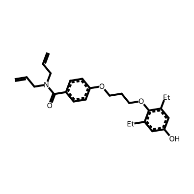 C=CCN(CC=C)C(=O)c1ccc(OCCCOc2c(CC)cc(O)cc2CC)cc1